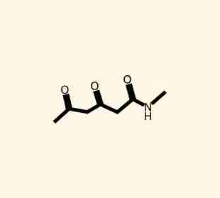 CNC(=O)CC(=O)CC(C)=O